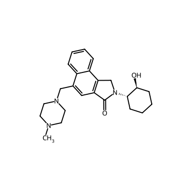 CN1CCN(Cc2cc3c(c4ccccc24)CN([C@H]2CCCC[C@@H]2O)C3=O)CC1